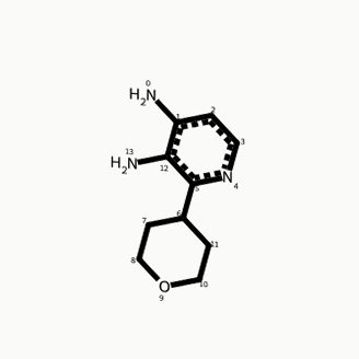 Nc1ccnc(C2CCOCC2)c1N